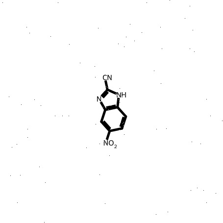 N#Cc1nc2cc([N+](=O)[O-])ccc2[nH]1